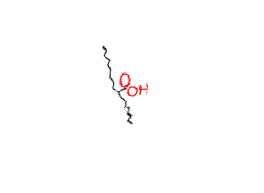 C=CCCCCCCCC(CCCCC=CCC)C(=O)O